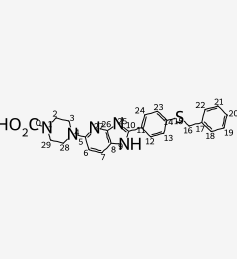 O=C(O)N1CCN(c2ccc3[nH]c(-c4ccc(SCc5ccccc5)cc4)nc3n2)CC1